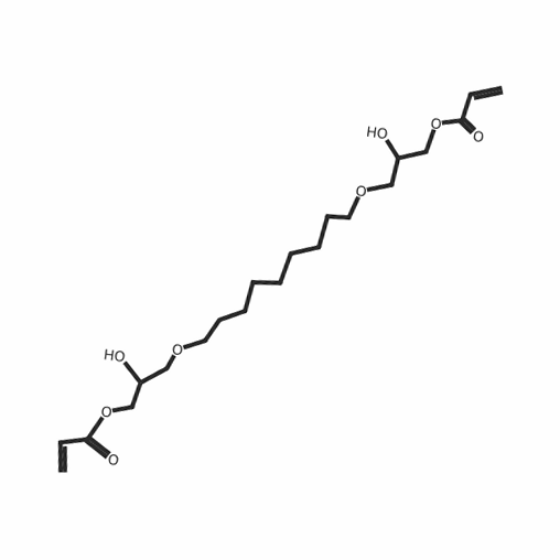 C=CC(=O)OCC(O)COCCCCCCCCCOCC(O)COC(=O)C=C